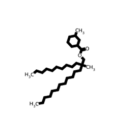 CCCCCCCCCCCCC(C)(CCCCCCCCCC)COC(=O)C1CCCC(C)C1